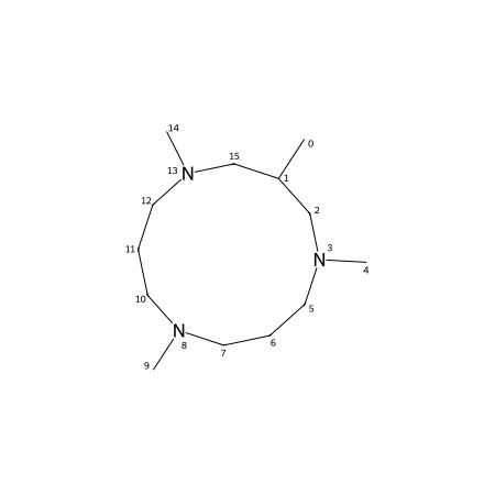 CC1CN(C)CCCN(C)CCCN(C)C1